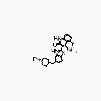 CCN1CCC(Cc2ccc3nc(-c4c(N)c5c(F)cccc5[nH]c4=O)[nH]c3c2)CC1